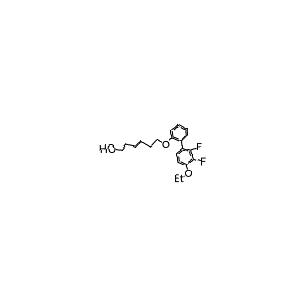 CCOc1ccc(-c2ccccc2OCCCCCCO)c(F)c1F